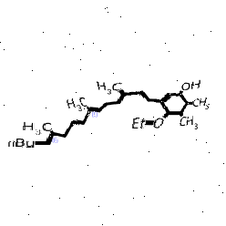 CCCC/C=C(\C)CCC/C(C)=C/CCC(C)CCC1=CC(O)C(C)C(C)C1OCC